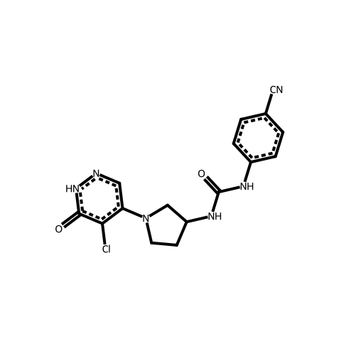 N#Cc1ccc(NC(=O)NC2CCN(c3cn[nH]c(=O)c3Cl)C2)cc1